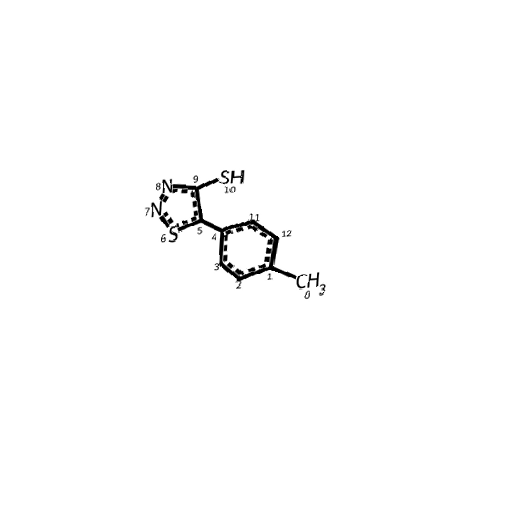 Cc1ccc(-c2snnc2S)cc1